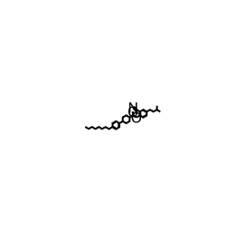 CCCCCCCCc1ccc(C2CCC(C(=O)Oc3ccc(CCC(C)C)cc3C#N)CC2)cc1